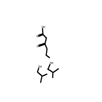 CC(C)CO.CC(C)CO.CCCC(=O)CC(=O)O